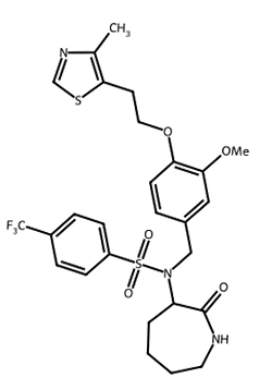 COc1cc(CN(C2CCCCNC2=O)S(=O)(=O)c2ccc(C(F)(F)F)cc2)ccc1OCCc1scnc1C